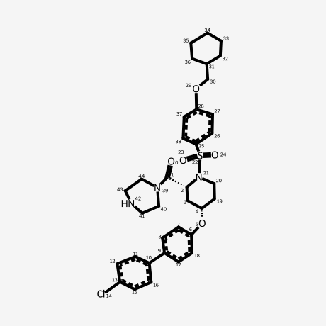 O=C([C@H]1C[C@@H](Oc2ccc(-c3ccc(Cl)cc3)cc2)CCN1S(=O)(=O)c1ccc(OCC2CCCCC2)cc1)N1CCNCC1